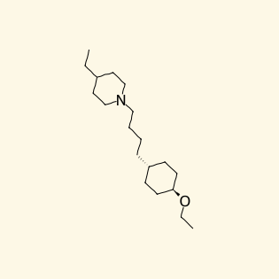 CCO[C@H]1CC[C@H](CCCCN2CCC(CC)CC2)CC1